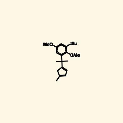 COc1cc(C(C)(C)C)c(OC)c(C(C)(C)C2=CC=C(C)C2)c1